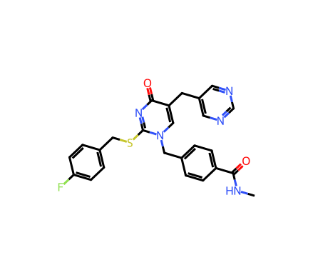 CNC(=O)c1ccc(Cn2cc(Cc3cncnc3)c(=O)nc2SCc2ccc(F)cc2)cc1